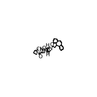 N#C[C@@H]1CCCN1C(=O)[C@@H](N)CN1C(=O)[C@@H]2C[C@H]1CN2C(=O)CC1c2ccccc2C=Cc2ccccc21